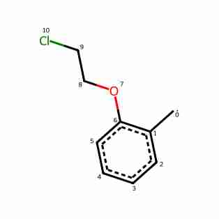 [CH2]c1ccccc1OCCCl